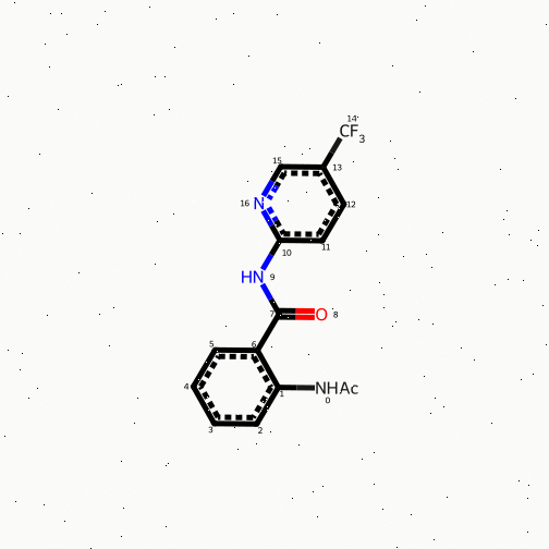 CC(=O)Nc1ccccc1C(=O)Nc1ccc(C(F)(F)F)cn1